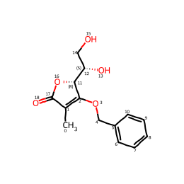 CC1=C(OCc2ccccc2)[C@@H]([C@@H](O)CO)OC1=O